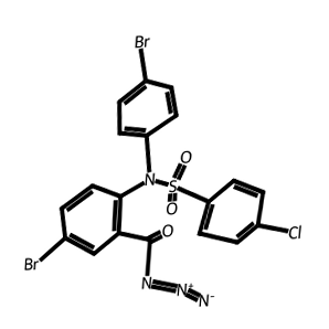 [N-]=[N+]=NC(=O)c1cc(Br)ccc1N(c1ccc(Br)cc1)S(=O)(=O)c1ccc(Cl)cc1